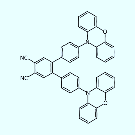 N#Cc1cc(-c2ccc(N3c4ccccc4Oc4ccccc43)cc2)c(-c2ccc(N3c4ccccc4Oc4ccccc43)cc2)cc1C#N